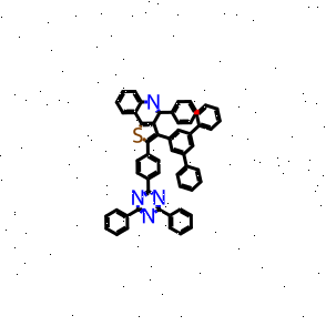 c1ccc(-c2cc(-c3ccccc3)cc(-c3c(-c4ccc(-c5nc(-c6ccccc6)nc(-c6ccccc6)n5)cc4)sc4c3c(-c3ccccc3)nc3ccccc34)c2)cc1